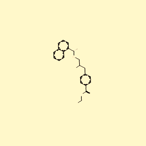 CCOC(=O)c1ccc(CC(O)CN[C@H](C)c2cccc3ccccc23)cc1